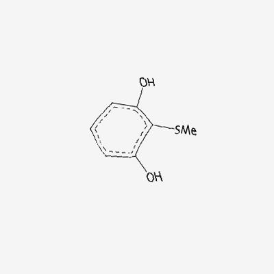 CSc1c(O)cccc1O